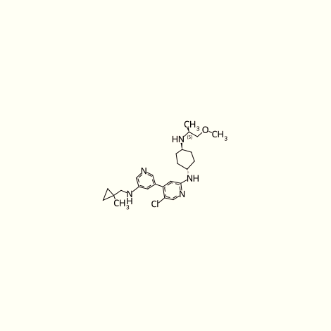 COC[C@H](C)N[C@H]1CC[C@H](Nc2cc(-c3cncc(NCC4(C)CC4)c3)c(Cl)cn2)CC1